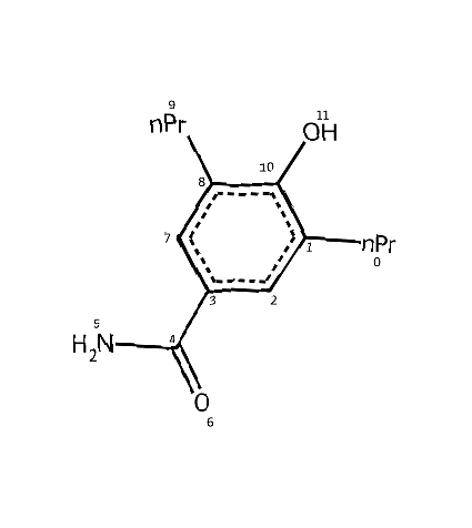 CCCc1cc(C(N)=O)cc(CCC)c1O